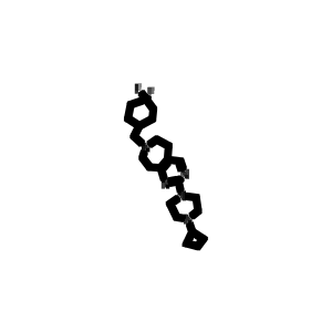 FC1(F)CCC(CN2CCc3cnc(N4CCN(C5CCC5)CC4)nc3CC2)CC1